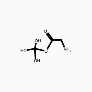 NCC(=O)OC(O)(O)O